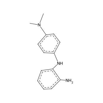 CN(C)c1ccc(Nc2ccccc2N)cc1